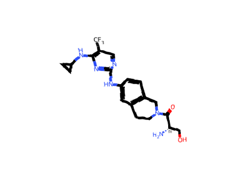 N[C@@H](CO)C(=O)N1CCc2cc(Nc3ncc(C(F)(F)F)c(NC4CC4)n3)ccc2C1